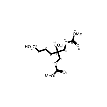 COC(=O)OCC(CCCC(=O)O)(COC(=O)OC)C(=O)O